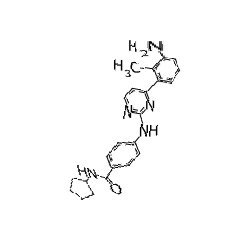 Cc1c(N)cccc1-c1ccnc(Nc2ccc(C(=O)NC3CCCC3)cc2)n1